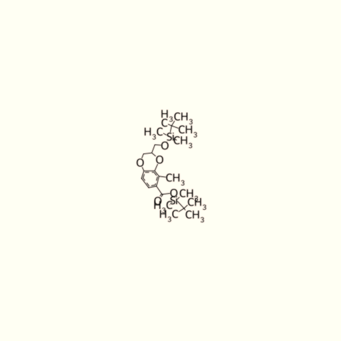 Cc1c(C(=O)O[Si](C)(C)C(C)(C)C)ccc2c1OC(CO[Si](C)(C)C(C)(C)C)CO2